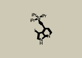 CC(C)[Si](C#Cc1ccnc2[nH]cc(I)c12)(C(C)C)C(C)C